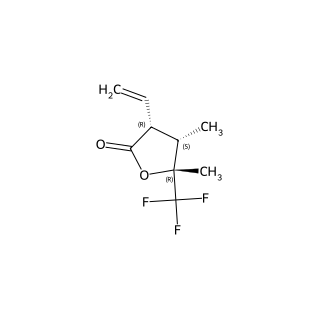 C=C[C@H]1C(=O)O[C@@](C)(C(F)(F)F)[C@H]1C